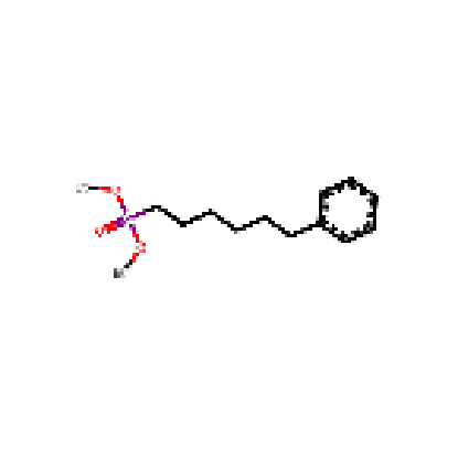 CCOP(=O)(CCCCCCc1cc[c]cc1)OCC